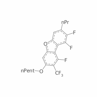 CCCCCOc1cc2oc3cc(CCC)c(F)c(F)c3c2c(F)c1C(F)(F)F